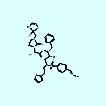 CC(C)[C@@H](C(=O)N[C@@H](Cc1ccccc1)[C@H](O)CN(CCc1cccs1)S(=O)(=O)c1ccc(/C=N/O)cc1)N1CCN(CC2(C)NC=CS2)C1=O